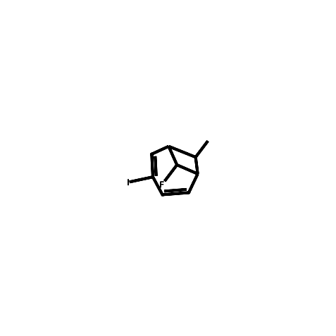 CC1C2C=CC(I)=CC1C2F